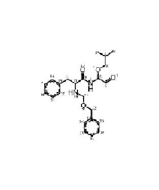 CC(C)COC([C]=O)NC(=O)[C@H](Cc1ccccc1)NCOCc1ccccc1